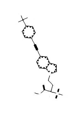 CC(C)(O)c1ccc(C#Cc2ccc3c(ccn3CC[C@](C)(C(=O)NO)S(C)(=O)=O)c2)cc1